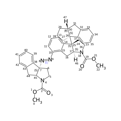 COC(=O)N1CC[C@]2(/N=N/c3cccc4c3C[C@@H]3N(C(=O)OC)CC[C@]43[C@@]34CCC[C@@H]3Cc3ccccc34)c3ccccc3CC12